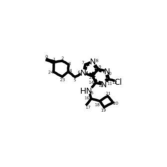 C=C1CCC(Cn2cnc3nc(Cl)nc(NC(C)C4CCC4)c32)CC1